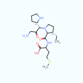 CC[C@H]1CCN(C(C(=O)CN)[C@@H]2CCCN2)C1C(=O)NC(CCSC)C(=O)O